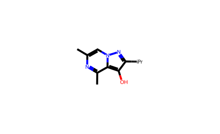 Cc1cn2nc(C(C)C)c(O)c2c(C)n1